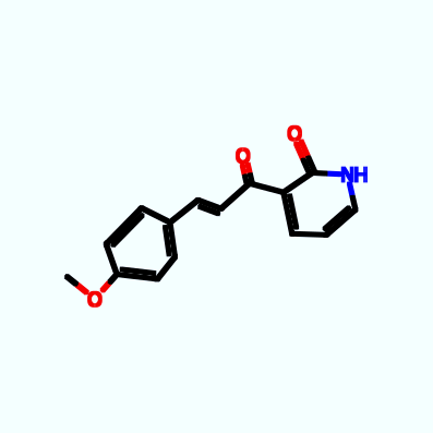 COc1ccc(/C=C/C(=O)c2ccc[nH]c2=O)cc1